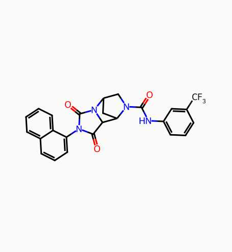 O=C1C2C3CC(CN3C(=O)Nc3cccc(C(F)(F)F)c3)N2C(=O)N1c1cccc2ccccc12